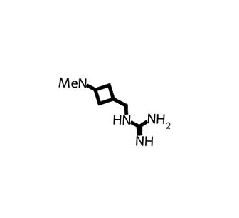 CNC1CC(CNC(=N)N)C1